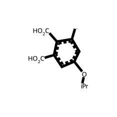 [CH2]c1cc(OC(C)C)cc(C(=O)O)c1C(=O)O